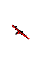 CCCCCCCCC(=O)OCCCCCCCOC(=O)CCC(OC(=O)OCCN(C)C)C(=O)OCCCCCCCOC(=O)CCCCCCCC